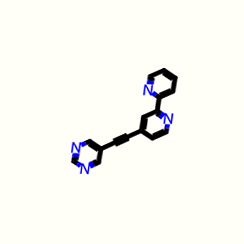 C(#Cc1ccnc(-c2ccccn2)c1)c1cncnc1